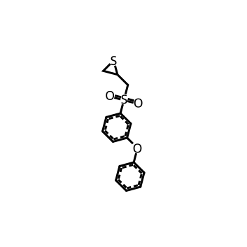 O=S(=O)(CC1CS1)c1cccc(Oc2ccccc2)c1